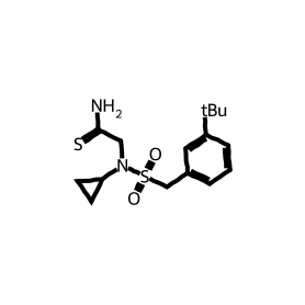 CC(C)(C)c1cccc(CS(=O)(=O)N(CC(N)=S)C2CC2)c1